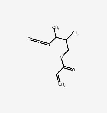 C=CC(=O)OCC(C)C(C)N=C=O